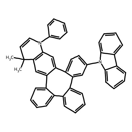 CC1(C)C=CN(c2ccccc2)c2cc3c(cc21)-c1ccccc1-c1ccccc1-c1cc(-n2c4ccccc4c4ccccc42)ccc1-3